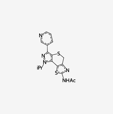 CC(=O)Nc1nc2c(s1)-c1c(c(-c3cccnc3)nn1C(C)C)SC2